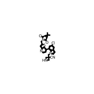 CC1(C)C2C(=O)N(Cc3cc4nccc(-c5cc(Cl)cc6ccn(CC7(C#N)CNC7)c56)c4s3)C(=O)C21